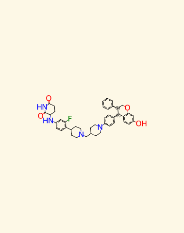 O=C1CCC(Nc2ccc(C3CCN(CC4CCN(c5ccc([C@@H]6c7ccc(O)cc7OC[C@@H]6c6ccccc6)cc5)CC4)CC3)c(F)c2)C(=O)N1